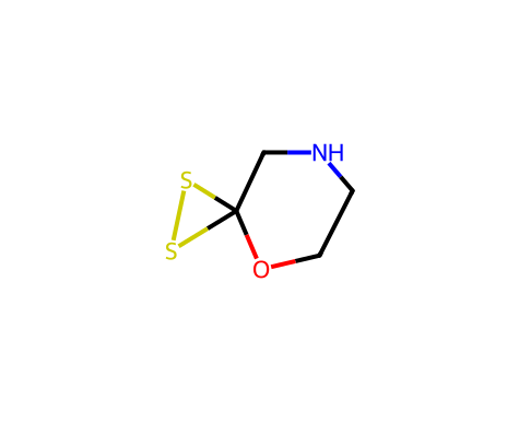 C1COC2(CN1)SS2